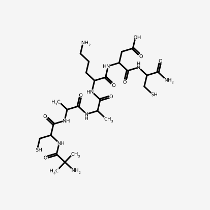 CC(NC(=O)C(C)NC(=O)C(CS)NC(=O)C(C)(C)N)C(=O)NC(CCCN)C(=O)NC(CC(=O)O)C(=O)NC(CS)C(N)=O